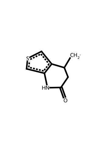 [CH2]C1CC(=O)Nc2cscc21